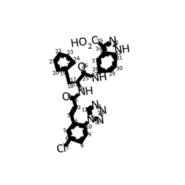 O=C(C=Cc1cc(Cl)ccc1-n1cnnn1)N[C@@H](Cc1ccccc1)C(=O)Nc1ccc2[nH]nc(C(=O)O)c2c1